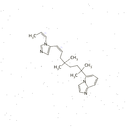 C/C=C\n1cncc1/C=C\CC(C)(C)CCC(C)(C)c1cccc2nccn12